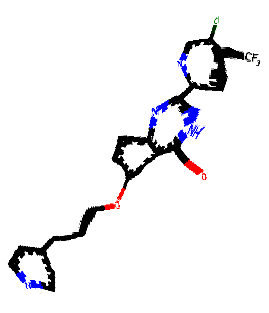 O=c1[nH]c(-c2cc(C(F)(F)F)c(Cl)cn2)nc2ccc(OCCCc3ccncc3)cc12